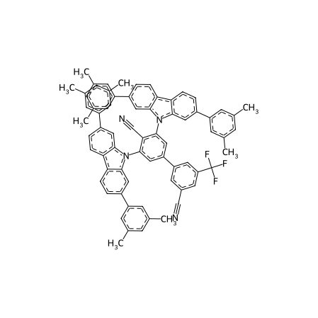 Cc1cc(C)cc(-c2ccc3c4ccc(-c5cc(C)cc(C)c5)cc4n(-c4cc(-c5cc(C#N)cc(C(F)(F)F)c5)cc(-n5c6cc(-c7cc(C)cc(C)c7)ccc6c6ccc(-c7cc(C)cc(C)c7)cc65)c4C#N)c3c2)c1